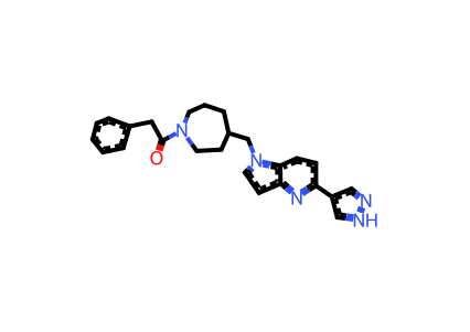 O=C(Cc1ccccc1)N1CCCC(Cn2ccc3nc(-c4cn[nH]c4)ccc32)CC1